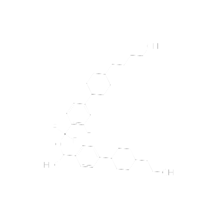 CCCCCC1CCC(c2ccc(C(F)(F)OC(C)c3ccc(C4CCC(CCC)CC4)cc3)c(F)c2)CC1